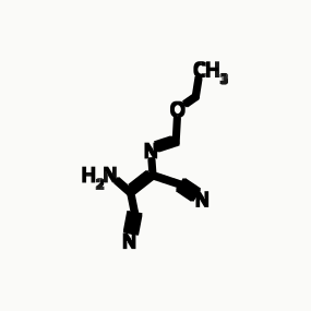 CCO/C=N/C(C#N)=C(\N)C#N